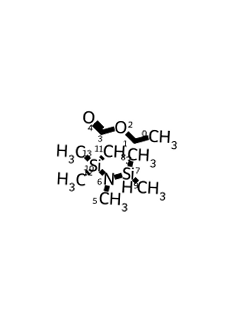 CCOC=O.CN([SiH](C)C)[Si](C)(C)C